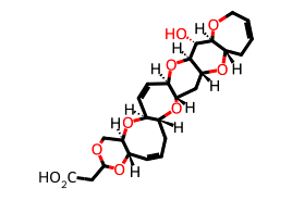 O=C(O)CC1OC[C@H]2O[C@H]3C=C[C@H]4O[C@H]5[C@H](O)[C@H]6OCC=CC[C@@H]6O[C@@H]5C[C@@H]4O[C@@H]3C/C=C\[C@@H]2O1